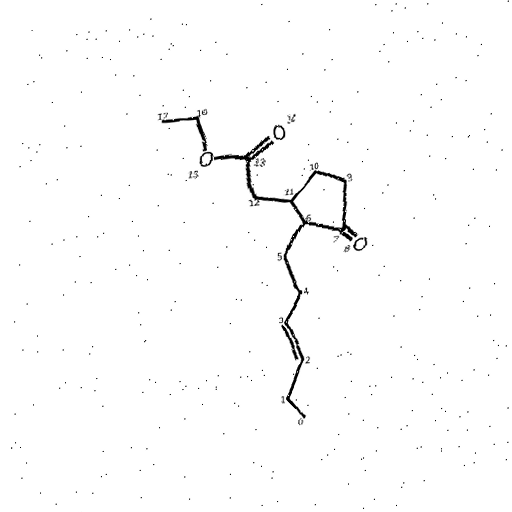 CCC=CCCC1C(=O)CCC1CC(=O)OCC